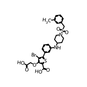 Cc1cccc(CS(=O)(=O)N2CCC(Nc3cccc(-c4sc(C(=O)O)c(OCC(=O)O)c4Br)c3)CC2)c1